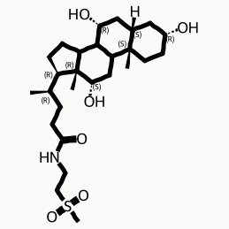 C[C@H](CCC(=O)NCCS(C)(=O)=O)[C@H]1CCC2C3C(C[C@H](O)[C@@]21C)[C@@]1(C)CC[C@@H](O)C[C@H]1C[C@H]3O